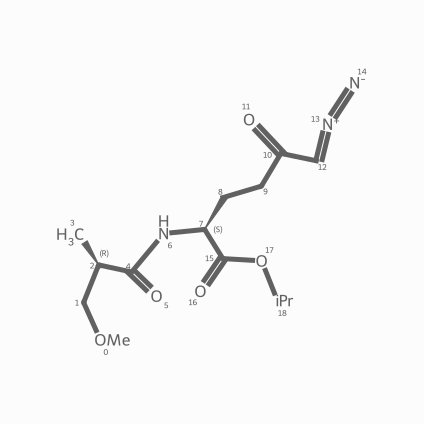 COC[C@@H](C)C(=O)N[C@@H](CCC(=O)C=[N+]=[N-])C(=O)OC(C)C